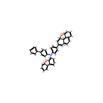 c1ccc(-c2ccc(N(c3ccc(-c4cc5ccc6cccc7oc(c4)c5c67)cc3)c3cccc4c3oc3ccccc34)cc2)cc1